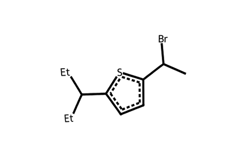 CCC(CC)c1ccc(C(C)Br)s1